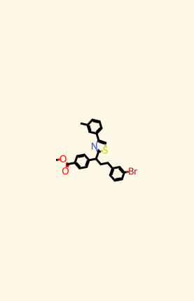 COC(=O)c1ccc(C(CCc2cccc(Br)c2)c2nc(-c3cccc(C)c3)cs2)cc1